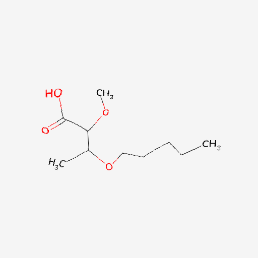 CCCCCOC(C)C(OC)C(=O)O